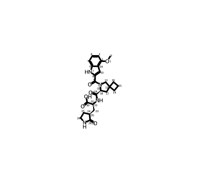 COc1cccc2[nH]c(C(=O)N3CC4(CCC4)C[C@H]3C(=O)N[C@@H](C[C@@H]3CCNC3=O)C(=O)O)cc12